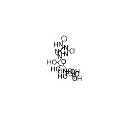 O=P(O)(O)CP(=O)(O)NCC1OC(n2cnc3c(NC4CCCC4)nc(Cl)nc32)C(O)C1O